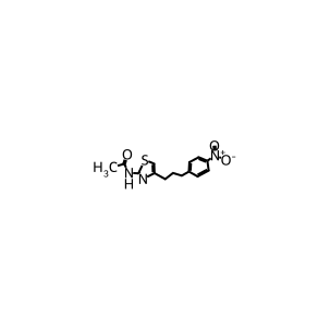 CC(=O)Nc1nc(CCCc2ccc([N+](=O)[O-])cc2)cs1